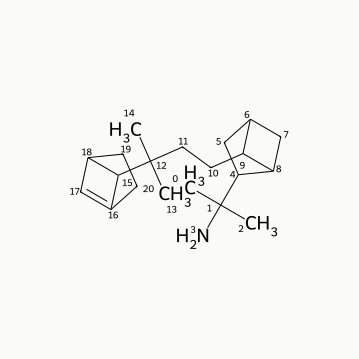 CC(C)(N)C1CC2CC1C2CCC(C)(C)C1C2=CC1CC2